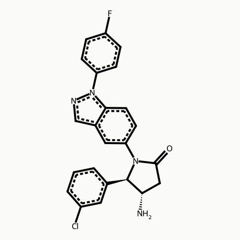 N[C@H]1CC(=O)N(c2ccc3c(cnn3-c3ccc(F)cc3)c2)[C@@H]1c1cccc(Cl)c1